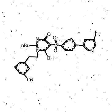 CCCCc1nc(=O)c(S(=O)(=O)c2ccc(-c3cncc(F)c3)cc2)c(O)n1CCc1cccc(C#N)c1